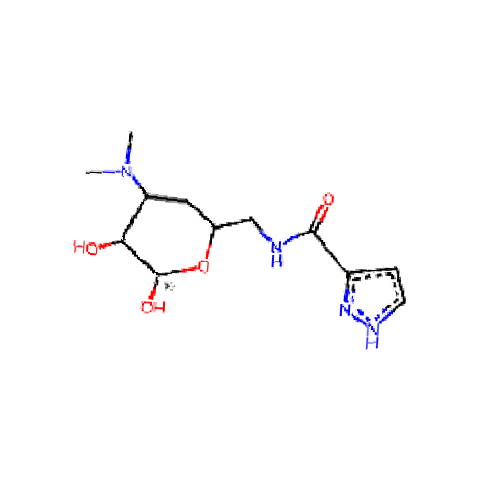 CN(C)C1CC(CNC(=O)c2cc[nH]n2)O[C@@H](O)C1O